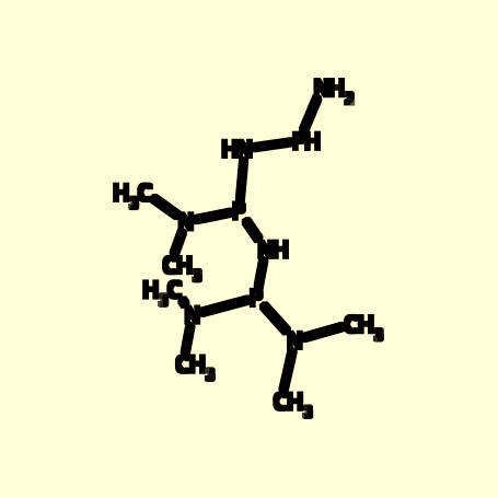 CN(C)P(NPN)NP(N(C)C)N(C)C